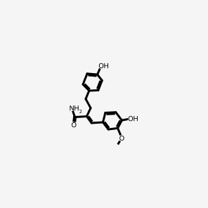 COc1cc(/C=C(\CCc2ccc(O)cc2)C(N)=O)ccc1O